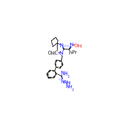 CCCC(=N\O)/C(=N/C1(C)CCCC1)N(C=O)Cc1ccc(-c2ccccc2/C(N)=N/NN)cc1